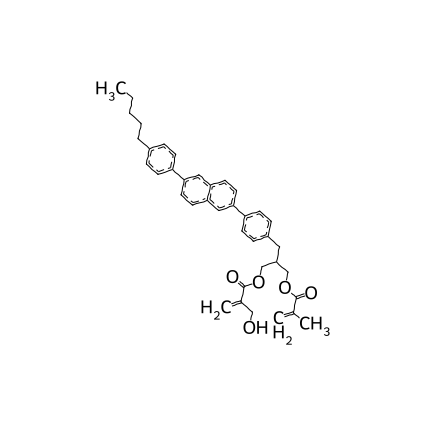 C=C(C)C(=O)OCC(COC(=O)C(=C)CO)Cc1ccc(-c2ccc3cc(-c4ccc(CCCCC)cc4)ccc3c2)cc1